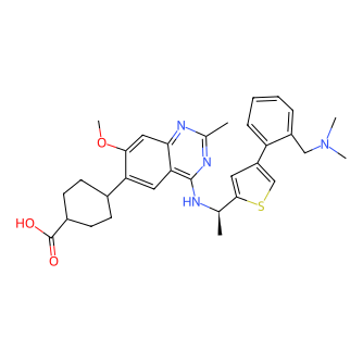 COc1cc2nc(C)nc(N[C@H](C)c3cc(-c4ccccc4CN(C)C)cs3)c2cc1C1CCC(C(=O)O)CC1